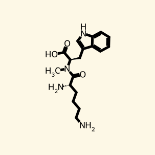 CN(C(=O)[C@@H](N)CCCCN)[C@H](Cc1c[nH]c2ccccc12)C(=O)O